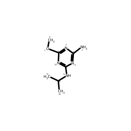 COc1nc(N)nc(NC(C)C)n1